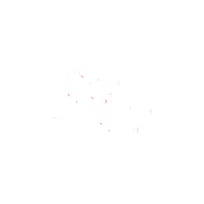 O=C[C@H](O)[C@@H](O)[C@H](O)[C@H](O)CO.O=C[C@H](O)[C@H](O)[C@@H](O)[C@H](O)CO